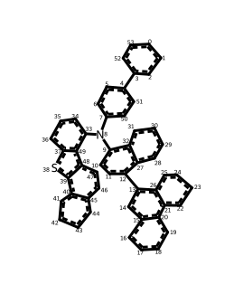 c1ccc(-c2ccc(N(c3ccc(-c4cc5ccccc5c5ccccc45)c4ccccc34)c3cccc4sc5c6ccccc6ccc5c34)cc2)cc1